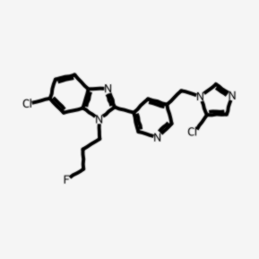 FCCCn1c(-c2cncc(Cn3cncc3Cl)c2)nc2ccc(Cl)cc21